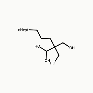 CCCCCCCCCCC(CO)(CO)C(O)O